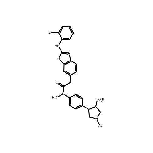 CC(=O)N1CC(C(=O)O)C(c2ccc(N(C)C(=O)Cc3ccc4nc(Nc5ccccc5Cl)oc4c3)cc2)C1